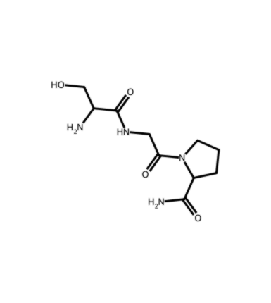 NC(=O)C1CCCN1C(=O)CNC(=O)C(N)CO